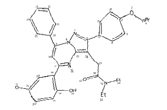 CCCOc1ccc(-c2nn3c(-c4ccccc4)cc(-c4cc(Cl)ccc4O)nc3c2CC(=O)N(CC)CC)cc1